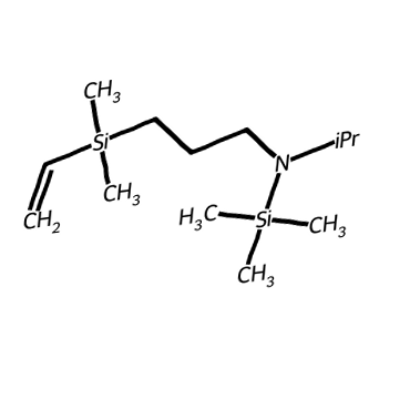 C=C[Si](C)(C)CCCN(C(C)C)[Si](C)(C)C